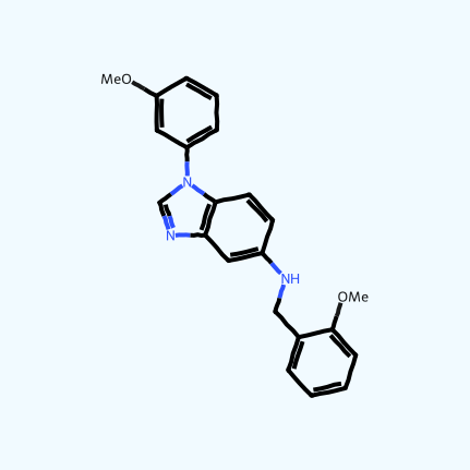 COc1cccc(-n2cnc3cc(NCc4ccccc4OC)ccc32)c1